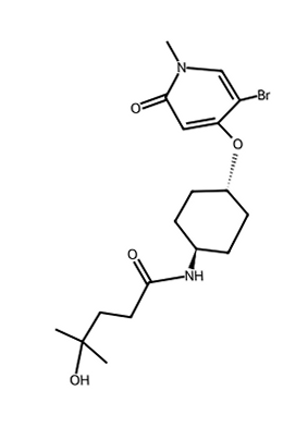 Cn1cc(Br)c(O[C@H]2CC[C@H](NC(=O)CCC(C)(C)O)CC2)cc1=O